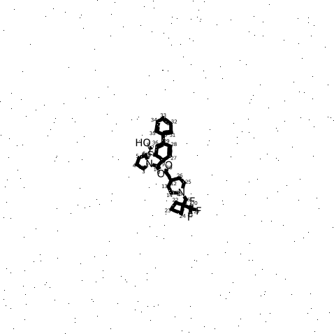 O=C(N1CCC[C@@H]1CO)C1(OCC2CCN(CC3(C(F)(F)F)CCC3)CC2)C=CC(c2ccccc2)=CC1F